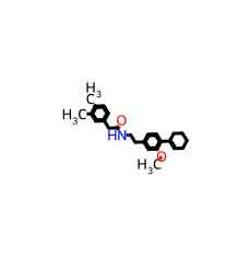 COc1cc(CCNC(=O)Cc2ccc(C)c(C)c2)ccc1C1=CCCCC1